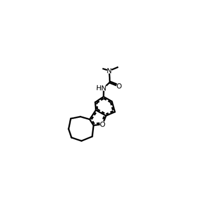 CN(C)C(=O)Nc1ccc2oc3c(c2c1)CCCCCC3